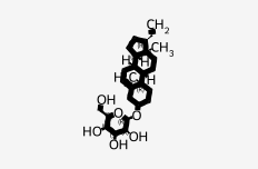 C=C[C@H]1CC[C@H]2[C@@H]3CC=C4CC(O[C@@H]5O[C@H](CO)[C@H](O)[C@H](O)[C@H]5O)CC[C@]4(C)[C@H]3CC[C@]12C